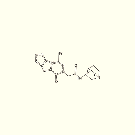 CC(C)c1nn(CC(=O)NC2CN3CCC2CC3)c(=O)c2cc3ccsc3n12